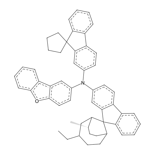 CCC1CCC2CC[C@H](C)C(C1)C21c2ccccc2-c2ccc(N(c3ccc4c(c3)C3(CCCC3)c3ccccc3-4)c3ccc4oc5ccccc5c4c3)cc21